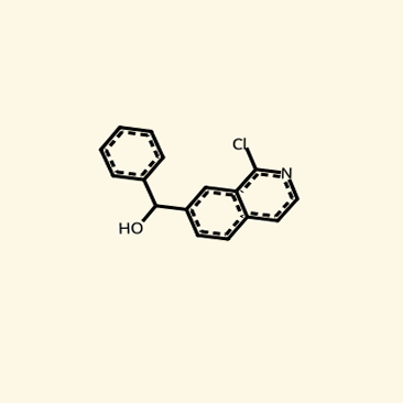 OC(c1ccccc1)c1ccc2ccnc(Cl)c2c1